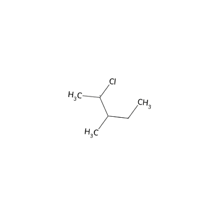 CCC(C)[C](C)Cl